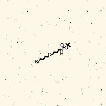 CC(C)(C)OC(=O)NCCCCOCCCCBr